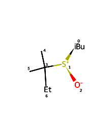 CC[C@H](C)[S@@+]([O-])C(C)(C)CC